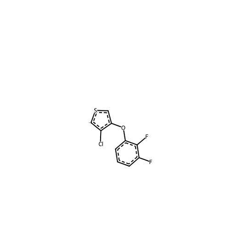 Fc1cccc(Oc2cs[c]c2Cl)c1F